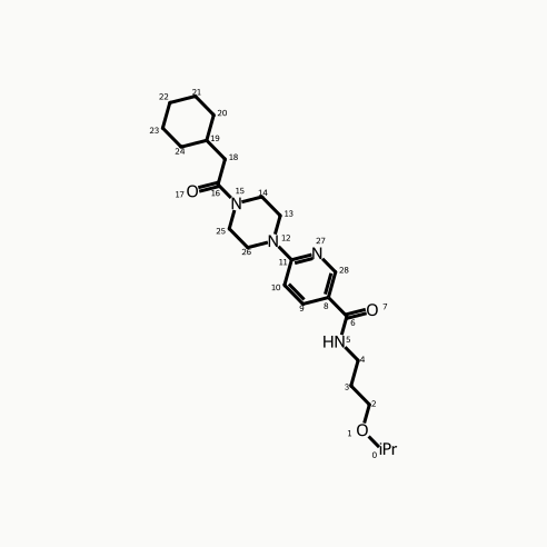 CC(C)OCCCNC(=O)c1ccc(N2CCN(C(=O)CC3CCCCC3)CC2)nc1